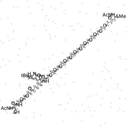 CSC(CC(=O)CCCOCCOCCOCCOCCOCCOCCOCCOCCOCCOCCOCCOCCC(=O)NC(CCCCCC(=O)CCOCCOCCNC(=O)C(CS)NC(C)=O)C(=O)CC(CSSC(C)(C)C)C(N)=O)NC(C)=O